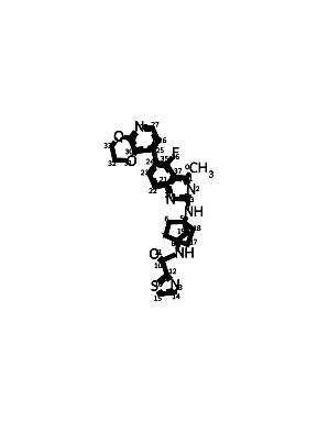 Cc1nc(NC23CCC(NC(=O)c4nccs4)(CC2)C3)nc2ccc(-c3ccnc4c3OCCO4)c(F)c12